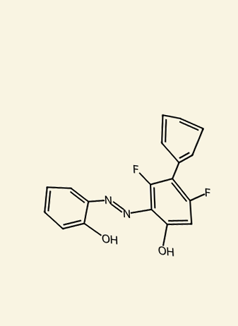 Oc1ccccc1N=Nc1c(O)cc(F)c(-c2ccccc2)c1F